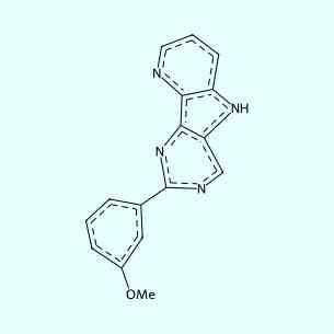 COc1cccc(-c2ncc3[nH]c4cccnc4c3n2)c1